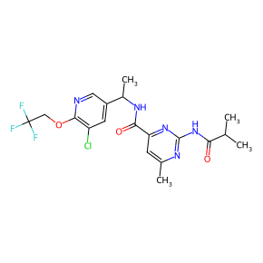 Cc1cc(C(=O)NC(C)c2cnc(OCC(F)(F)F)c(Cl)c2)nc(NC(=O)C(C)C)n1